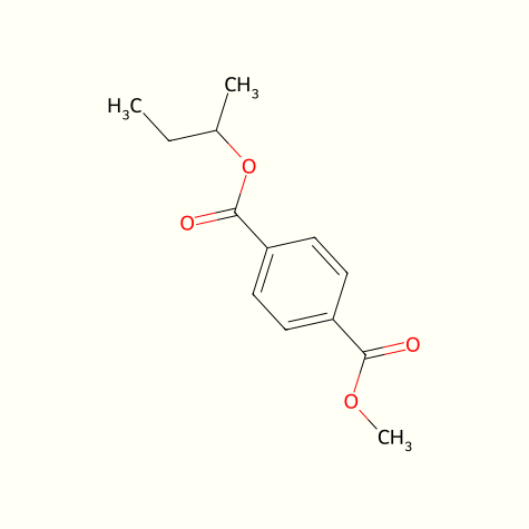 CCC(C)OC(=O)c1ccc(C(=O)OC)cc1